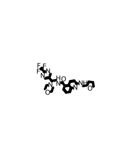 O=C(NCC(c1cnc(C(F)(F)F)nc1)N1CCOCC1)c1cccc2nc(NCC3CCCO3)ccc12